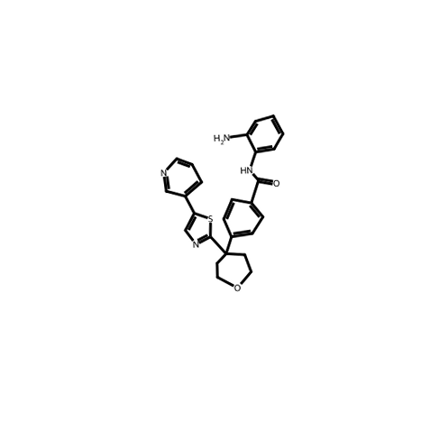 Nc1ccccc1NC(=O)c1ccc(C2(c3ncc(-c4cccnc4)s3)CCOCC2)cc1